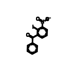 O=C(c1ccccc1)c1cccc([N+](=O)[O-])c1I